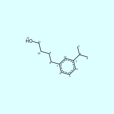 CC(C)c1cccc(CCCCO)c1